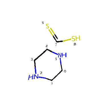 C1CNCCN1.S=CS